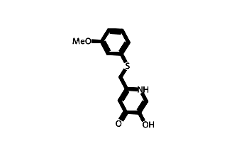 COc1cccc(SCc2cc(=O)c(O)c[nH]2)c1